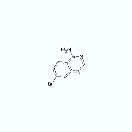 Nc1ncnc2cc(Br)ccc12